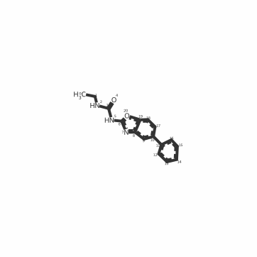 CCNC(=O)Nc1nc2cc(-c3ccccc3)ccc2o1